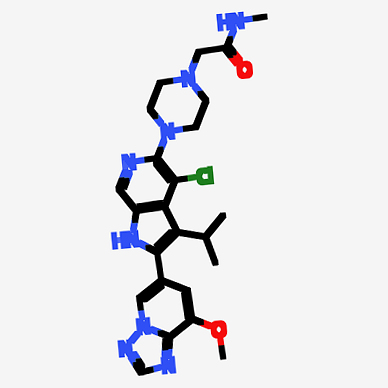 CNC(=O)CN1CCN(c2ncc3[nH]c(-c4cc(OC)c5ncnn5c4)c(C(C)C)c3c2Cl)CC1